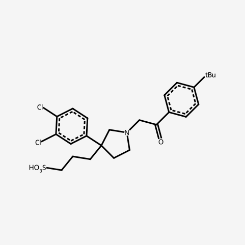 CC(C)(C)c1ccc(C(=O)CN2CCC(CCCS(=O)(=O)O)(c3ccc(Cl)c(Cl)c3)C2)cc1